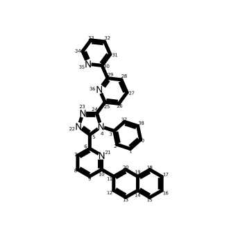 c1ccc(-n2c(-c3cccc(-c4ccc5ccccc5c4)n3)nnc2-c2cccc(-c3ccccn3)n2)cc1